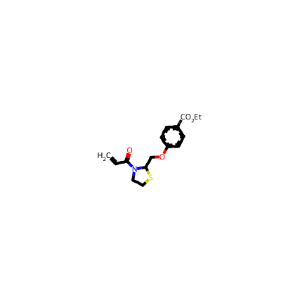 C=CC(=O)N1CCSC1COc1ccc(C(=O)OCC)cc1